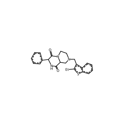 CCc1sc2ccccc2c1CN1CCN2C(=O)C(c3ccccc3)NC(=O)C2C1